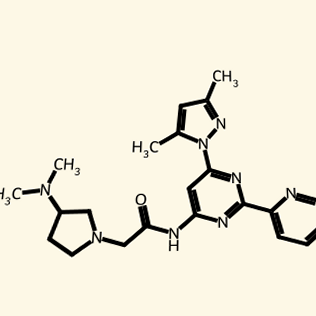 Cc1cc(C)n(-c2cc(NC(=O)CN3CCC(N(C)C)C3)nc(-c3ccccn3)n2)n1